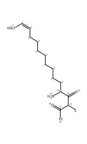 CCCCCCCC/C=C\CCCCCCCCN(N)C(=O)C(C)C(=O)CC